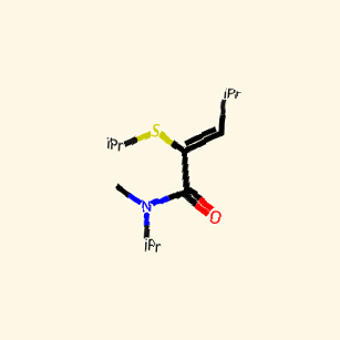 CC(C)/C=C(\SC(C)C)C(=O)N(C)C(C)C